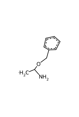 [CH2]C(N)OCc1ccccc1